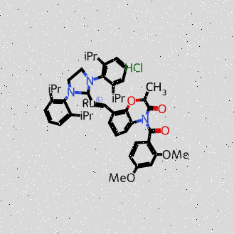 COc1ccc(C(=O)N2C(=O)C(C)Oc3c(/[CH]=[Ru]/[CH]4N(c5c(C(C)C)cccc5C(C)C)CCN4c4c(C(C)C)cccc4C(C)C)cccc32)c(OC)c1.Cl